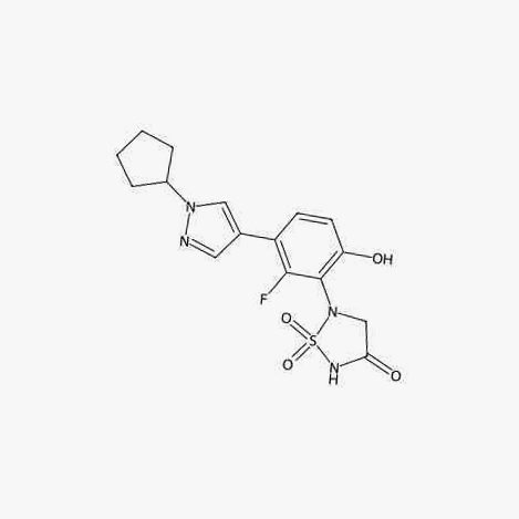 O=C1CN(c2c(O)ccc(-c3cnn(C4CCCC4)c3)c2F)S(=O)(=O)N1